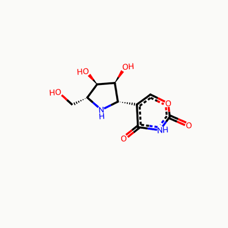 O=c1[nH]c(=O)c([C@@H]2N[C@H](CO)[C@@H](O)[C@H]2O)co1